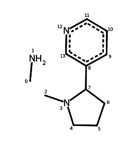 CN.CN1CCCC1c1cccnc1